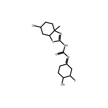 CC12CCC(Cl)CC1SC(NC(=O)/N=C1\CCC(C#N)C(F)C1)=N2